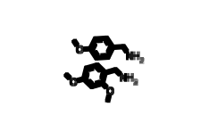 COc1ccc(CN)c(OC)c1.COc1ccc(CN)cc1